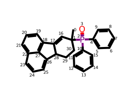 CC1(P(=O)(c2ccccc2)c2ccccc2)C=C2c3cccc4cccc(c34)C2CC1